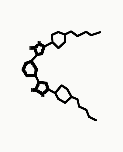 CCCCCC1CCC(c2cc(-c3cccc(-c4cc(C5CCC(CCCCC)CC5)n[nH]4)c3)[nH]n2)CC1